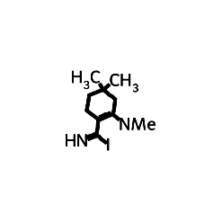 CNC1=C(C(=N)I)CCC(C)(C)C1